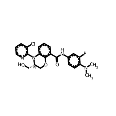 CN(C)c1ccc(NC(=O)c2cccc3c2OC[C@H](CO)N3c2ncccc2Cl)cc1F